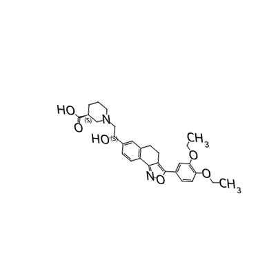 CCOc1ccc(-c2onc3c2CCc2cc([C@H](O)CN4CCC[C@H](C(=O)O)C4)ccc2-3)cc1OCC